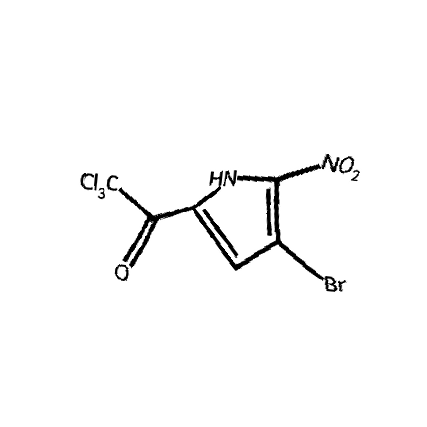 O=C(c1cc(Br)c([N+](=O)[O-])[nH]1)C(Cl)(Cl)Cl